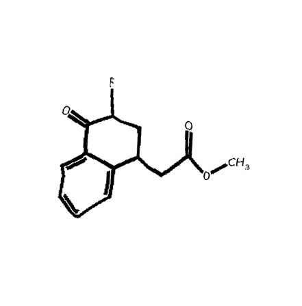 COC(=O)CC1CC(F)C(=O)c2ccccc21